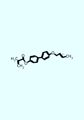 C=C(C)C(=O)Oc1ccc(-c2ccc(OC/C=C/C)cc2)cc1